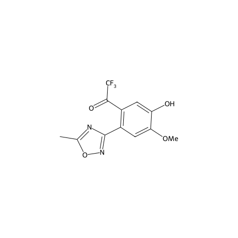 COc1cc(-c2noc(C)n2)c(C(=O)C(F)(F)F)cc1O